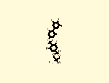 CCCC1(C)COC(O)(c2cc(F)c(C(F)(F)Oc3cc(F)c(-c4cc(F)c(F)c(F)c4)c(F)c3)c(F)c2)OC1